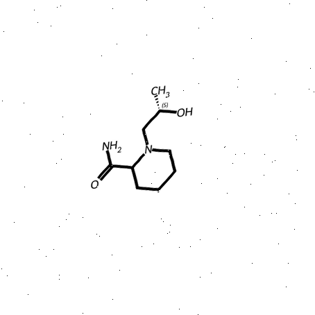 C[C@H](O)CN1CC[CH]CC1C(N)=O